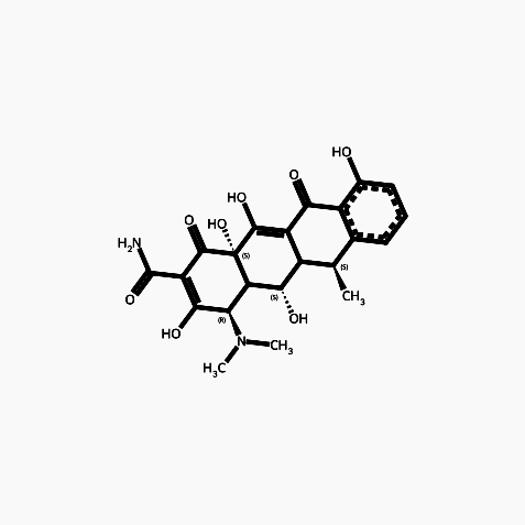 C[C@@H]1c2cccc(O)c2C(=O)C2=C(O)[C@]3(O)C(=O)C(C(N)=O)=C(O)[C@H](N(C)C)C3[C@@H](O)C21